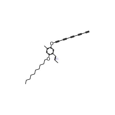 C#CC#CC#CC#CC#COc1cc(/C=C/C)c(OCCCCCCCCCC)cc1C